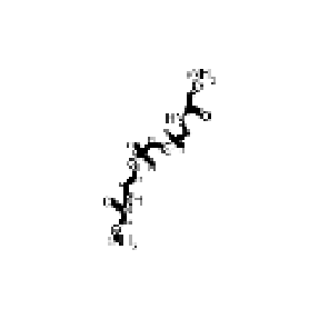 CC(C)(CNC(=O)CON)OCC(C)(C)OCCNC(=O)CON